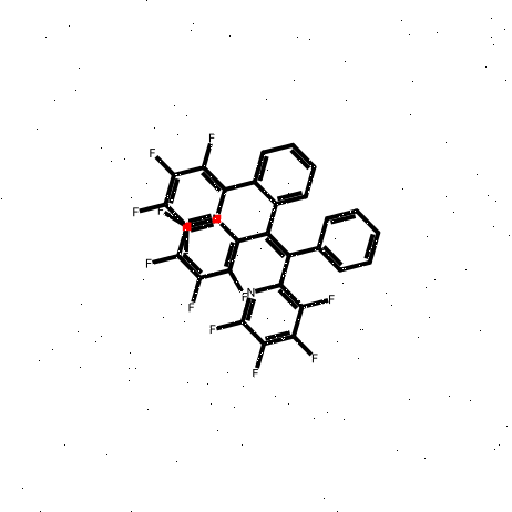 Fc1nc(C(=C(c2ccccc2-c2nc(F)c(F)c(F)c2F)c2nc(F)c(F)c(F)c2F)c2ccccc2)c(F)c(F)c1F